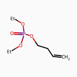 C=CCCOP(=O)(OCC)OCC